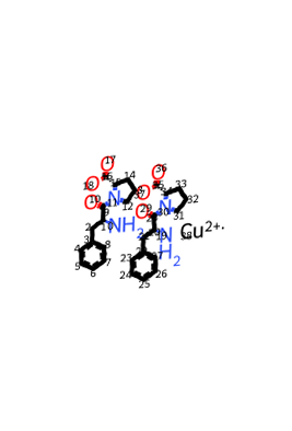 N[C@@H](Cc1ccccc1)C(=O)N1CCC[C@H]1C(=O)[O-].N[C@@H](Cc1ccccc1)C(=O)N1CCC[C@H]1C(=O)[O-].[Cu+2]